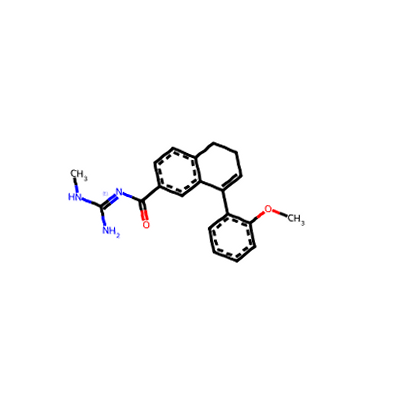 CN/C(N)=N/C(=O)c1ccc2c(c1)C(c1ccccc1OC)=CCC2